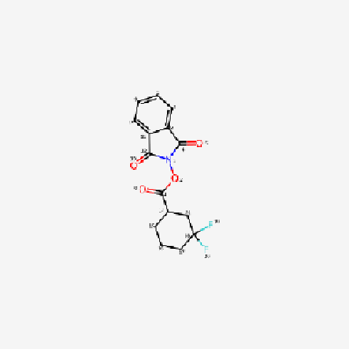 O=C(ON1C(=O)c2ccccc2C1=O)C1CCCC(F)(F)C1